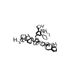 C#Cc1cc(C[C@@H](CC(=O)N2CCC(N3CCc4ccccc4NC3=O)CC2)C(=O)N2CCC(N(C)C)CC2)cc(Cl)c1N